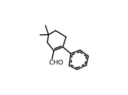 CC1(C)CCC(c2ccccc2)=C(C=O)C1